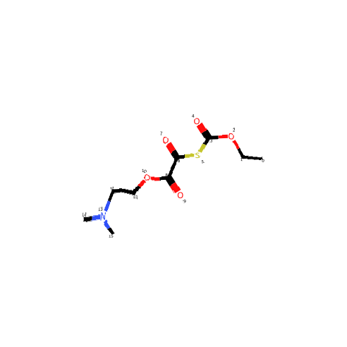 CCOC(=O)SC(=O)C(=O)OCCN(C)C